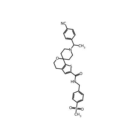 CC(c1ccc(C#N)cc1)N1CCC2(CC1)OCCc1cc(C(=O)NCc3ccc(S(C)(=O)=O)cc3)sc12